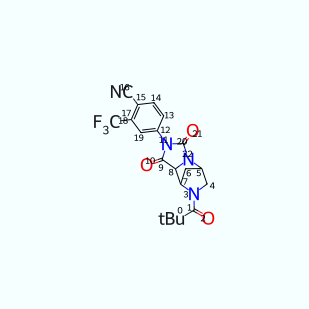 CC(C)(C)C(=O)N1CC2CC1C1C(=O)N(c3ccc(C#N)c(C(F)(F)F)c3)C(=O)N21